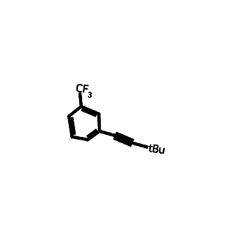 CC(C)(C)C#Cc1cccc(C(F)(F)F)c1